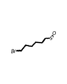 O=[S+]CCCCCCBr